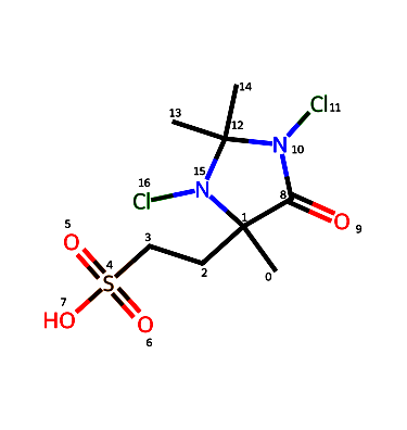 CC1(CCS(=O)(=O)O)C(=O)N(Cl)C(C)(C)N1Cl